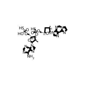 C[C@@H]1[C@H](OP(=O)(S)OC[C@@H]2C[C@@H](C)[C@H](n3cnc4c3ncn3ccnc43)O2)[C@@H](COP(=O)(O)S)O[C@H]1n1cnc2c(N)ncnc21